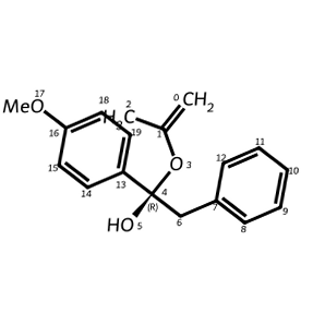 C=C(C)O[C@](O)(Cc1ccccc1)c1ccc(OC)cc1